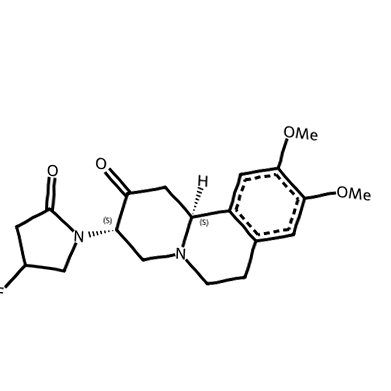 COc1cc2c(cc1OC)[C@@H]1CC(=O)[C@@H](N3CC(F)CC3=O)CN1CC2